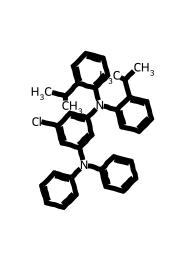 CC(C)c1ccccc1N(c1cc(Cl)cc(N(c2ccccc2)c2ccccc2)c1)c1ccccc1C(C)C